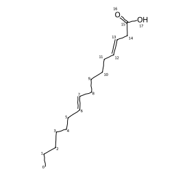 CCCCCCC=CCCCCC=CCC(=O)O